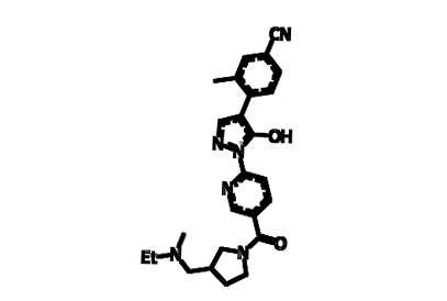 CCN(C)CC1CCN(C(=O)c2ccc(-n3ncc(-c4ccc(C#N)cc4C)c3O)nc2)C1